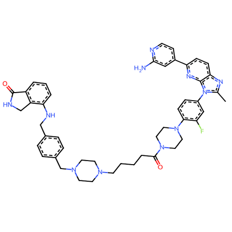 Cc1nc2ccc(-c3ccnc(N)c3)nc2n1-c1ccc(N2CCN(C(=O)CCCCN3CCN(Cc4ccc(CNc5cccc6c5CNC6=O)cc4)CC3)CC2)c(F)c1